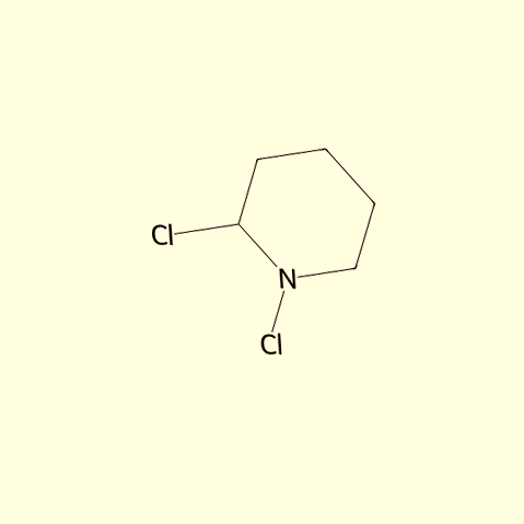 ClC1CCCCN1Cl